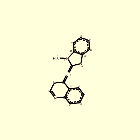 CN1C(=C=C2CC=Nc3ccccc32)Sc2ccccc21